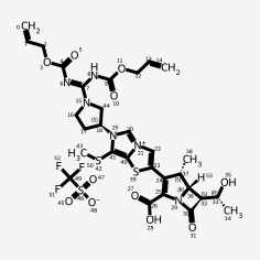 C=CCOC(=O)N=C(NC(=O)OCC=C)N1CC[C@H](n2c[n+]3cc(C4=C(C(=O)O)N5C(=O)[C@H]([C@@H](C)O)[C@H]5[C@H]4C)sc3c2SC)C1.O=S(=O)([O-])C(F)(F)F